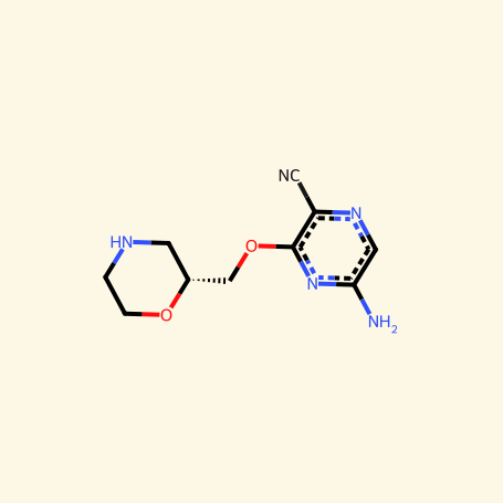 N#Cc1ncc(N)nc1OC[C@H]1CNCCO1